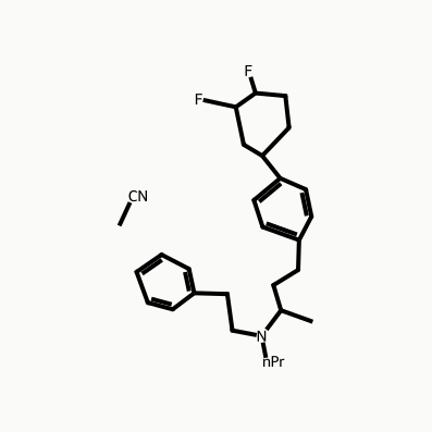 CC#N.CCCN(CCc1ccccc1)C(C)CCc1ccc(C2CCC(F)C(F)C2)cc1